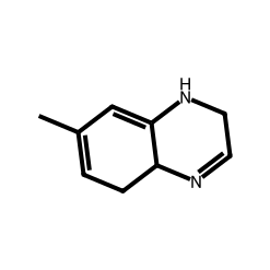 CC1=CCC2N=CCNC2=C1